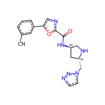 N#Cc1cccc(-c2cnc(C(=O)N[C@H]3CN[C@H](Cn4ccnn4)C3)o2)c1